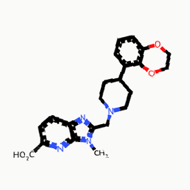 Cn1c(CN2CCC(c3cccc4c3OCCO4)CC2)nc2ccc(C(=O)O)nc21